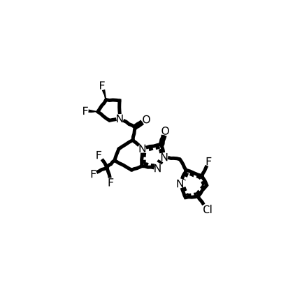 O=C(C1CC(C(F)(F)F)Cc2nn(Cc3ncc(Cl)cc3F)c(=O)n21)N1C[C@@H](F)[C@@H](F)C1